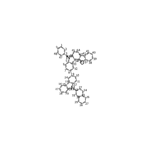 c1ccc(-n2c3ccc(-c4ccc5c(c4)c4ccccc4n5-c4ccc5ccccc5c4)cc3c3c4oc5ccccc5c4ccc32)cc1